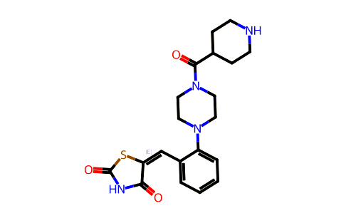 O=C1NC(=O)/C(=C\c2ccccc2N2CCN(C(=O)C3CCNCC3)CC2)S1